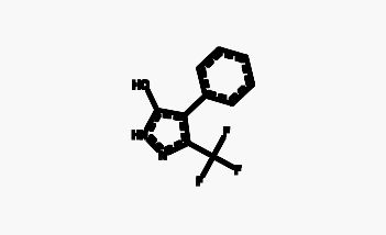 Oc1[nH]nc(C(F)(F)F)c1-c1ccccc1